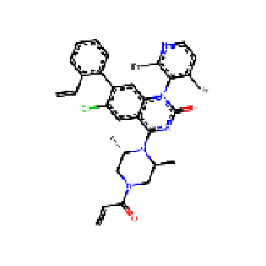 C=CC(=O)N1C[C@H](C)N(c2nc(=O)n(-c3c(C(C)C)ccnc3C(C)C)c3cc(-c4ccccc4C=C)c(Cl)cc23)[C@@H](C)C1